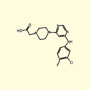 O=C(O)CN1CCN(c2cc(Nc3ccc(F)c(Cl)c3)ncn2)CC1